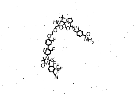 CC(C)(C)C(NC(=O)COCCOc1ccc(-c2ncc(N3C(=S)N(c4ccc(C#N)c(C(F)(F)F)c4F)C(=O)C3(C)C)cc2F)cc1F)C(=O)N1CCC[C@H]1C(=O)NCc1ccc(C(N)=O)cc1